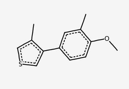 COc1ccc(-c2cscc2C)cc1C